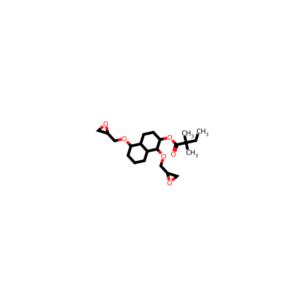 CCC(C)(C)C(=O)OC1CCC2C(OCC3CO3)CCCC2C1OCC1CO1